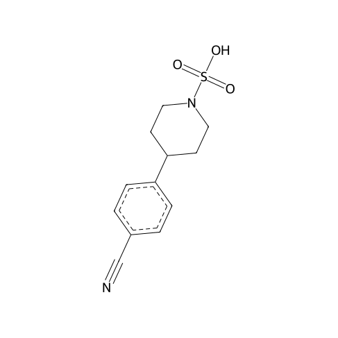 N#Cc1ccc(C2CCN(S(=O)(=O)O)CC2)cc1